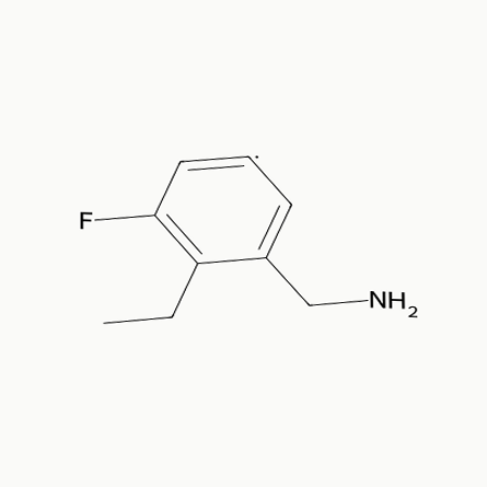 CCc1c(F)c[c]cc1CN